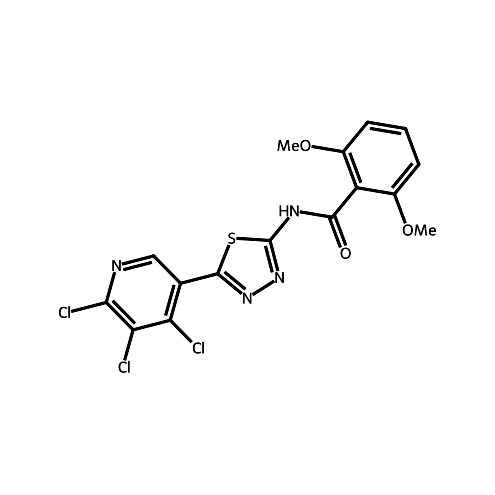 COc1cccc(OC)c1C(=O)Nc1nnc(-c2cnc(Cl)c(Cl)c2Cl)s1